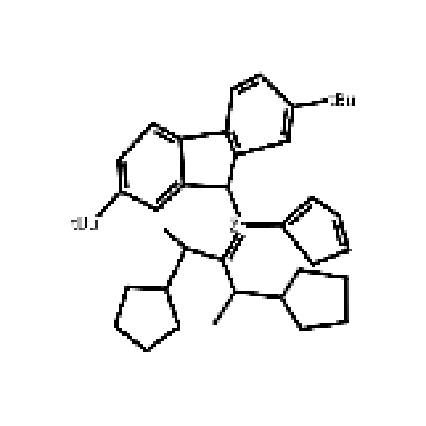 CC([C](C(C)C1CCCC1)=[Zr]([C]1=CC=CC1)[CH]1c2cc(C(C)(C)C)ccc2-c2ccc(C(C)(C)C)cc21)C1CCCC1